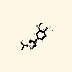 COC1=C(P)C=CC(c2cnn(C(C)C)c2)C1